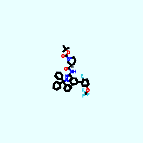 CC(C)(C)OC(=O)N1CCC[C@@H](C(=O)Nc2nn(C(c3ccccc3)(c3ccccc3)c3ccccc3)c3ccc(-c4cc(OC(F)(F)F)ccc4F)cc23)C1